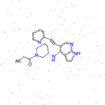 N#CCC(=O)N1CCC[C@H](Nc2c(C#Cc3ccccn3)cnc3[nH]ccc23)C1